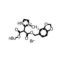 CCCCOC(=O)C(C(=O)OCc1ccc2c(c1)OCO2)c1[nH]cc[n+]1C.[Br-]